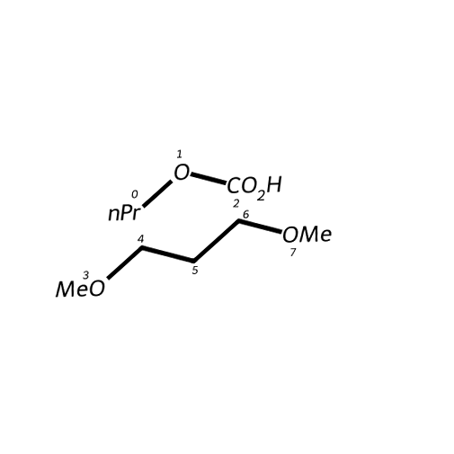 CCCOC(=O)O.COCCCOC